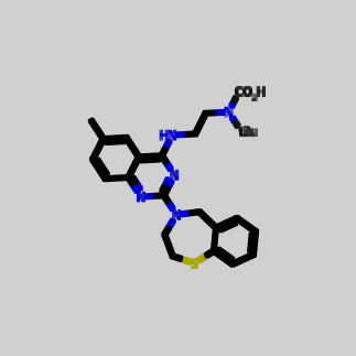 Cc1ccc2nc(N3CCSc4ccccc4C3)nc(NCCN(C(=O)O)C(C)(C)C)c2c1